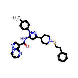 Cc1ccc(-n2nc(C3CCN(SCCc4ccccc4)CC3)cc2NC(=O)c2cnn3cccnc23)cc1